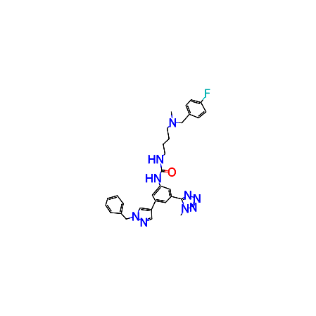 CN(CCCCNC(=O)Nc1cc(-c2cnn(Cc3ccccc3)c2)cc(-c2nnnn2C)c1)Cc1ccc(F)cc1